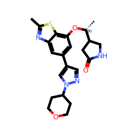 Cc1nc2cc(-c3cnn(C4CCOCC4)c3)cc(O[C@H](C)C3CNC(=O)C3)c2s1